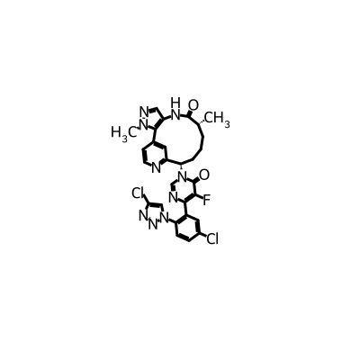 C[C@@H]1CCC[C@H](n2cnc(-c3cc(Cl)ccc3-n3cc(Cl)nn3)c(F)c2=O)c2cc(ccn2)-c2c(cnn2C)NC1=O